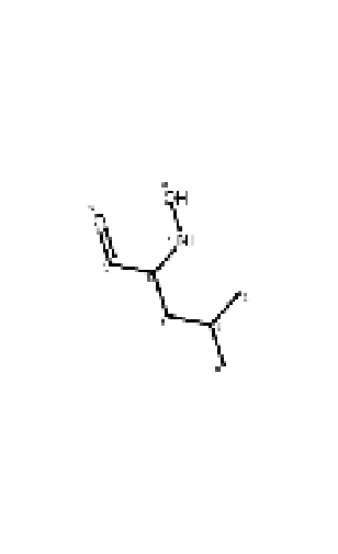 CC(C)CC([C]=O)NO